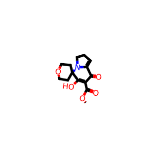 COC(=O)C1=C(O)C2(CCOCC2)N2CCC=C2C1=O